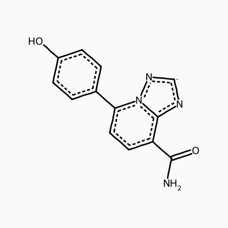 NC(=O)c1ccc(-c2ccc(O)cc2)n2n[c]nc12